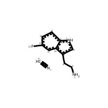 C#N.NCCc1c[nH]c2ccc(F)cc12